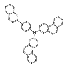 c1ccc2cc(-c3ccc(N(c4ccc5c(ccc6ccccc65)c4)c4ccc5c(ccc6ccccc65)c4)cc3)ccc2c1